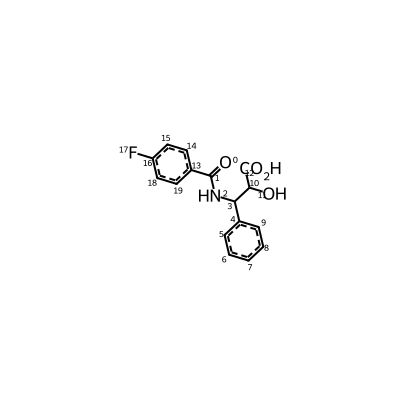 O=C(NC(c1ccccc1)C(O)C(=O)O)c1ccc(F)cc1